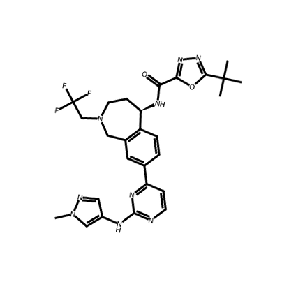 Cn1cc(Nc2nccc(-c3ccc4c(c3)CN(CC(F)(F)F)CC[C@H]4NC(=O)c3nnc(C(C)(C)C)o3)n2)cn1